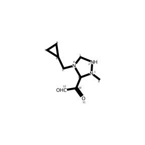 CN1NCN(CC2CC2)C1C(=O)C=O